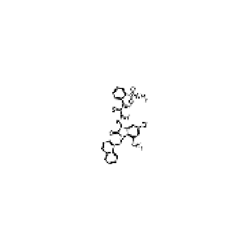 Cc1cc(Cl)cc2c1N(Cc1cccc3ccccc13)C(=O)C2=NNC(=S)Nc1ccccc1S(N)(=O)=O